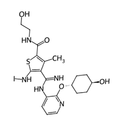 Cc1c(C(=O)NCCO)sc(NI)c1C(=N)Nc1cccnc1O[C@H]1CC[C@H](O)CC1